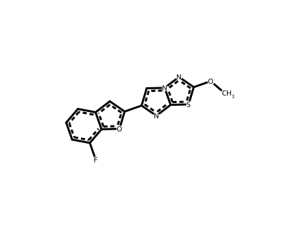 COc1nn2cc(-c3cc4cccc(F)c4o3)nc2s1